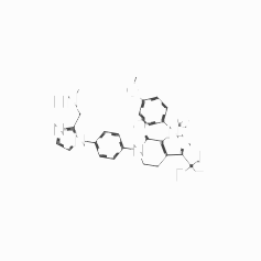 CNCc1nccn1-c1ccc(N2CCC3=C(C2=O)[N+]([O-])(c2ccc(OC)cc2)N=C3C(F)(F)F)cc1